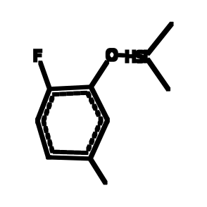 Cc1ccc(F)c(O[SiH](C)C)c1